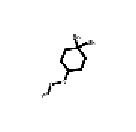 CCCOOC1CCC(C(C)(C)C)(C(C)(C)C)CC1